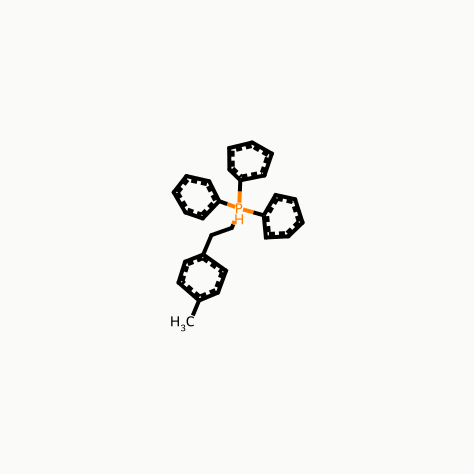 Cc1ccc(CC[PH](c2ccccc2)(c2ccccc2)c2ccccc2)cc1